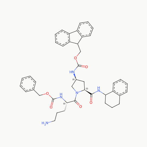 NCCC[C@H](NC(=O)OCc1ccccc1)C(=O)N1C[C@@H](NC(=O)OCC2c3ccccc3-c3ccccc32)C[C@H]1C(=O)NC1CCCc2ccccc21